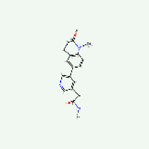 CCNC(=O)[CH]c1cncc(-c2ccc3c(c2)CCC(=O)N3C)c1